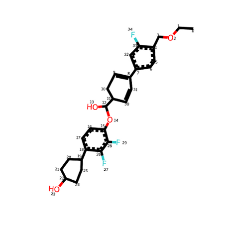 CCOCc1ccc(C2=CCC(C(O)Oc3ccc(C4CCC(O)CC4)c(F)c3F)C=C2)cc1F